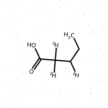 [2H]C(CC)C([2H])([2H])C(=O)O